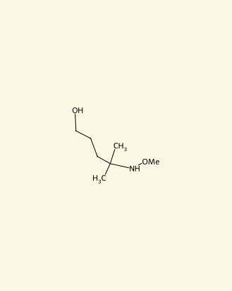 CONC(C)(C)CCCO